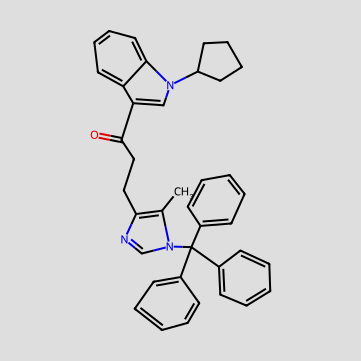 Cc1c(CCC(=O)c2cn(C3CCCC3)c3ccccc23)ncn1C(c1ccccc1)(c1ccccc1)c1ccccc1